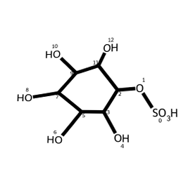 O=S(=O)(O)OC1C(O)C(O)C(O)C(O)C1O